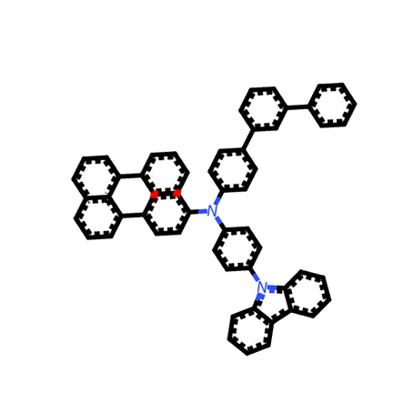 c1ccc(-c2cccc(-c3ccc(N(c4ccc(-c5cccc6cccc(-c7ccccc7)c56)cc4)c4ccc(-n5c6ccccc6c6ccccc65)cc4)cc3)c2)cc1